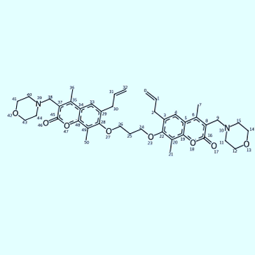 C=CCc1cc2c(C)c(CN3CCOCC3)c(=O)oc2c(C)c1OCCCOc1c(CC=C)cc2c(C)c(CN3CCOCC3)c(=O)oc2c1C